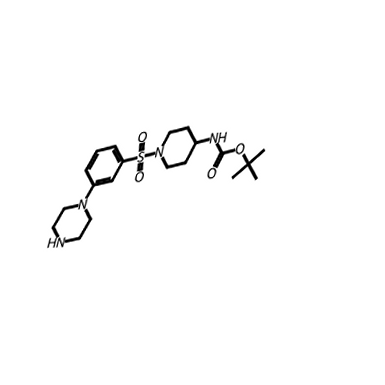 CC(C)(C)OC(=O)NC1CCN(S(=O)(=O)c2cccc(N3CCNCC3)c2)CC1